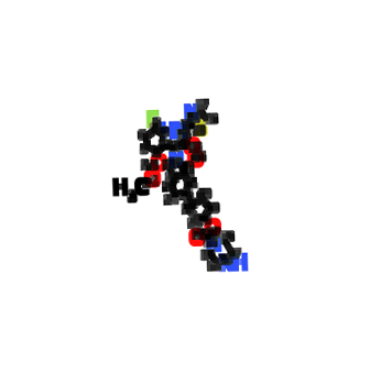 COCOc1ccc(F)cc1C(C(=O)Nc1nccs1)N1Cc2ccc(-c3ccc(OC(=O)N4CCNCC4)cc3)cc2C1=O